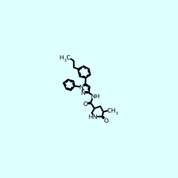 CCCc1cccc(-c2cc(NC(=O)C3CNC(=O)C(C)C3)nn2-c2ccccc2)c1